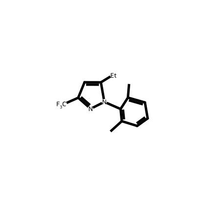 CCc1cc(C(F)(F)F)nn1-c1c(C)cccc1C